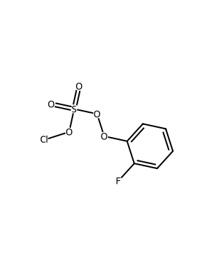 O=S(=O)(OCl)OOc1ccccc1F